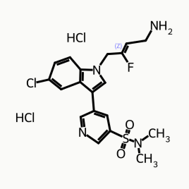 CN(C)S(=O)(=O)c1cncc(-c2cn(C/C(F)=C/CN)c3ccc(Cl)cc23)c1.Cl.Cl